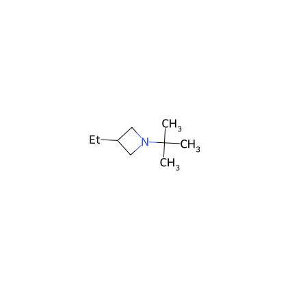 CCC1CN(C(C)(C)C)C1